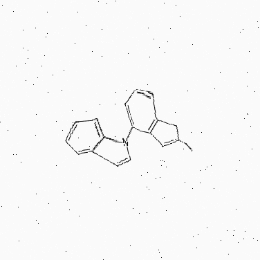 CC1=Cc2c(cccc2-n2ccc3ccccc32)C1